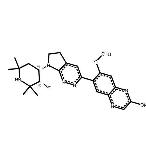 COc1cnc2cc(-c3cc4c(nn3)N([C@H]3CC(C)(C)NC(C)(C)[C@H]3F)CC4)c(OC=O)cc2n1